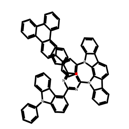 c1ccc(-c2nc(-c3cccc4c3c3ccccc3n4-c3ccccc3)nc(-n3c4ccccc4c4ccc5c6ccccc6n(-c6cccc(-c7ccc8c9ccccc9c9ccccc9c8c7)c6)c5c43)n2)cc1